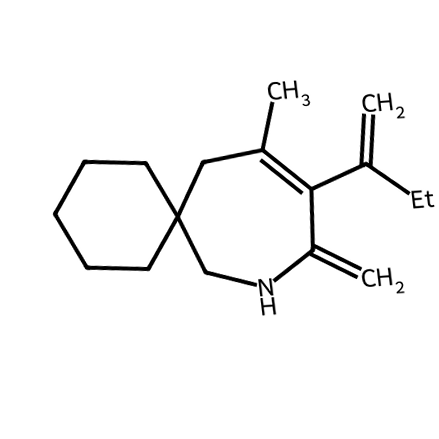 C=C(CC)C1=C(C)CC2(CCCCC2)CNC1=C